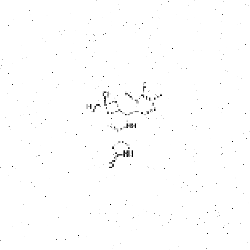 CC1(C)CC([C@@H](NC(=O)[C@@H]2CNC(=O)C2)c2ccc(F)c(Cl)c2F)C1